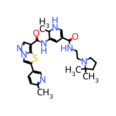 Cc1ccc(-c2cn3ncc(C(=O)NC4=CC(C(=O)NCCN5CCCC5(C)C)=CNC4C)c3s2)cn1